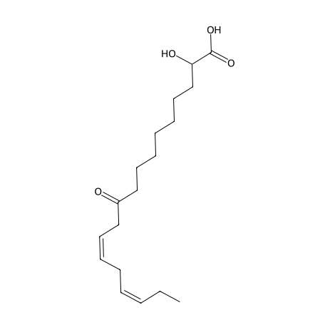 CC/C=C\C/C=C\CC(=O)CCCCCCCC(O)C(=O)O